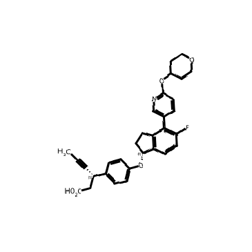 CC#C[C@@H](CC(=O)O)c1ccc(O[C@@H]2CCc3c2ccc(F)c3-c2ccc(OC3CCOCC3)nc2)cc1